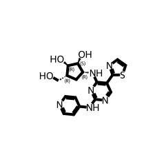 OC[C@H]1C[C@@H](Nc2nc(Nc3ccncc3)ncc2-c2nccs2)[C@H](O)[C@@H]1O